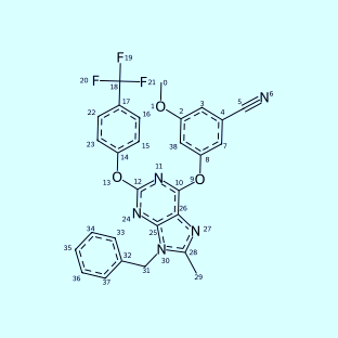 COc1cc(C#N)cc(Oc2nc(Oc3ccc(C(F)(F)F)cc3)nc3c2nc(C)n3Cc2ccccc2)c1